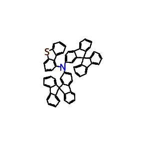 c1ccc2c(c1)-c1ccccc1C21c2ccccc2-c2ccc(N(c3ccc4c(c3)C3(c5ccccc5-c5ccccc53)c3ccccc3-4)c3cccc4sc5ccccc5c34)cc21